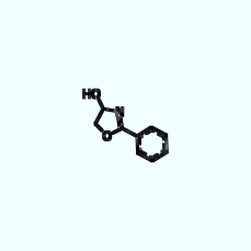 OC1COC(c2ccccc2)=N1